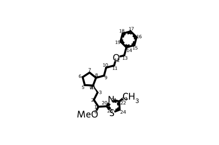 COC(CC[C@H]1CCCC1CCCOCc1ccccc1)c1nc(C)cs1